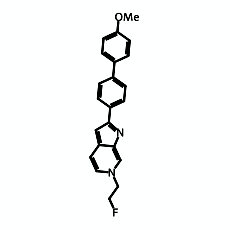 COc1ccc(-c2ccc(-c3cc4ccn(CCF)cc-4n3)cc2)cc1